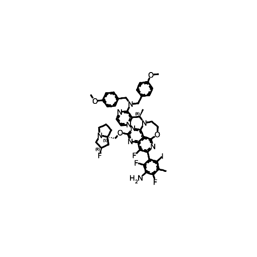 COc1ccc(CN(Cc2ccc(OC)cc2)c2nccnc2[C@@H](C)N2CCOc3nc(-c4c(F)c(N)c(F)c(C)c4I)c(F)c4nc(OC[C@@]56CCCN5C[C@H](F)C6)nc2c34)cc1